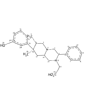 CC1CN2CC(c3ccccc3)N(CC(=O)O)CC2C[C@@]1(C)c1cccc(O)c1